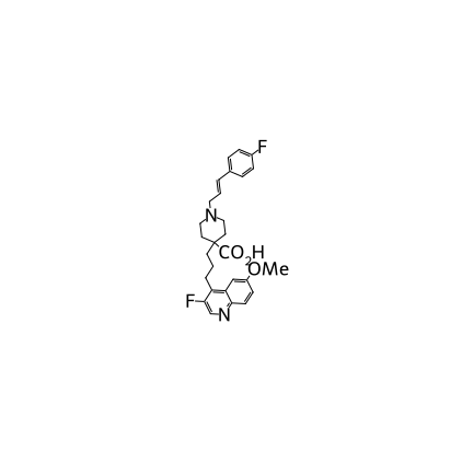 COc1ccc2ncc(F)c(CCCC3(C(=O)O)CCN(CC=Cc4ccc(F)cc4)CC3)c2c1